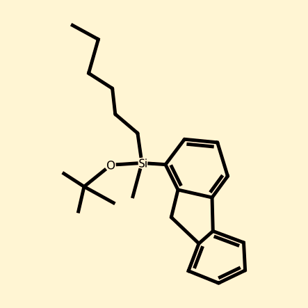 CCCCCC[Si](C)(OC(C)(C)C)c1cccc2c1Cc1ccccc1-2